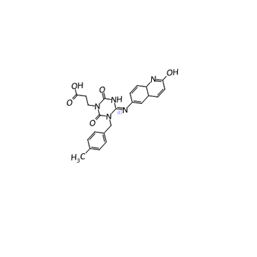 Cc1ccc(Cn2c(=O)n(CCC(=O)O)c(=O)[nH]/c2=N\C2=CC3C=CC(O)=NC3C=C2)cc1